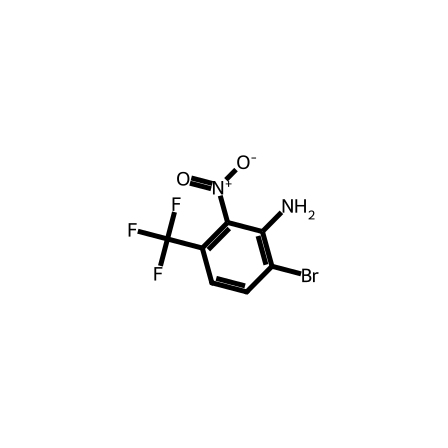 Nc1c(Br)ccc(C(F)(F)F)c1[N+](=O)[O-]